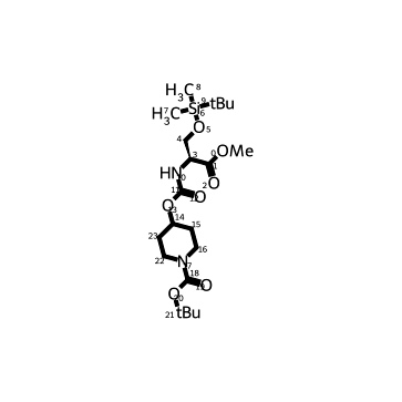 COC(=O)[C@H](CO[Si](C)(C)C(C)(C)C)NC(=O)OC1CCN(C(=O)OC(C)(C)C)CC1